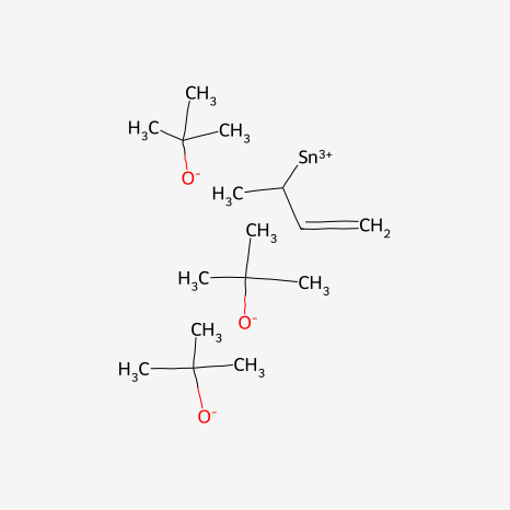 C=C[CH](C)[Sn+3].CC(C)(C)[O-].CC(C)(C)[O-].CC(C)(C)[O-]